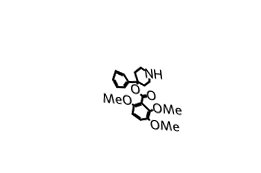 COc1ccc(OC)c(C(=O)OC2(c3ccccc3)CCNCC2)c1OC